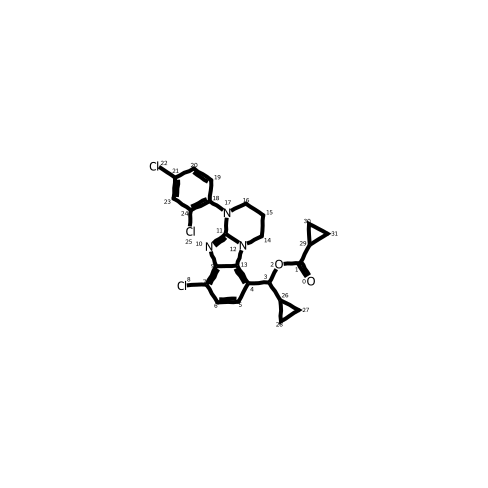 O=C(OC(c1ccc(Cl)c2nc3n(c12)CCCN3c1ccc(Cl)cc1Cl)C1CC1)C1CC1